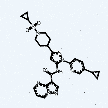 O=C(Nc1cc(C2CCN(S(=O)(=O)C3CC3)CC2)nn1-c1ccc(C2CC2)cn1)c1cnn2cccnc12